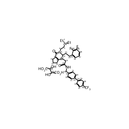 CCN(CC)CCN1C(=O)C2=C(CCC2)N(CC(=O)NCc2ccc(-c3ccc(C(F)(F)F)cc3)cc2)C1CCc1cccc(F)c1F.O=C(O)C(O)C(O)C(=O)O